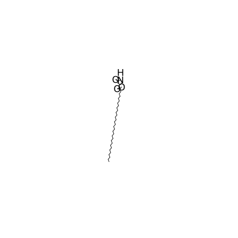 CCCCCCCCCCCCCCCCCCCCCCCCCCCCCCCC(=O)O[C@H]1CNC(=O)C1